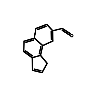 O=Cc1ccc2ccc3c(c2c1)CC=C3